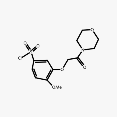 COc1ccc(S(=O)(=O)Cl)cc1OCC(=O)N1CCOCC1